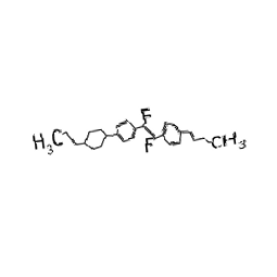 CCCC=Cc1ccc(C(F)=C(F)c2ccc(C3CCC(CCC)CC3)cc2)cc1